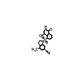 Cc1cc(C#N)cc2c1CCN2S(=O)(=O)c1cccc2c(=O)[nH]cc(Cl)c12